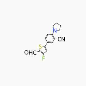 N#Cc1cc(-c2cc(F)c(C=O)s2)ccc1N1CCCC1